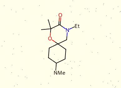 CCN1CC2(CCC(NC)CC2)OC(C)(C)C1=O